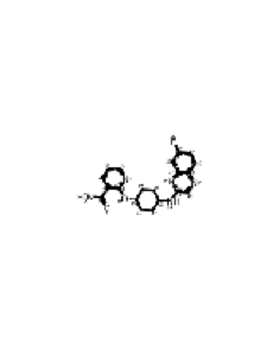 NC(=O)c1cccnc1O[C@H]1CC[C@H](Nc2cnc3ccc(F)cc3n2)CC1